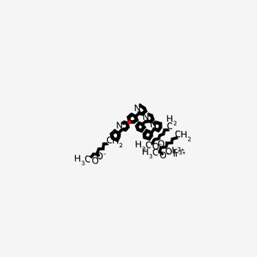 C=CCCCC([O-])CC(C)[O-].C=CCCCC([O-])CC(C)[O-].C=CCCCC([O-])CC(C)[O-].[Ir+3].[Ir+3].c1ccc(-c2ccccn2)cc1.c1ccc(-c2ccccn2)cc1.c1ccc(-c2ccccn2)cc1.c1ccc(-c2ccccn2)cc1